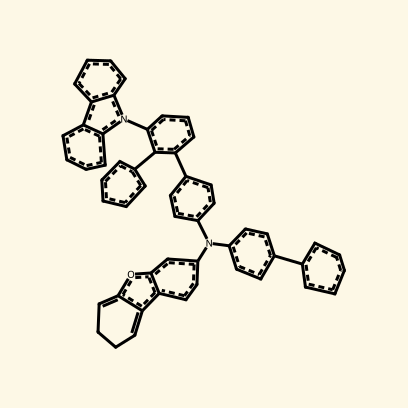 C1=c2oc3cc(N(c4ccc(-c5ccccc5)cc4)c4ccc(-c5cccc(-n6c7ccccc7c7ccccc76)c5-c5ccccc5)cc4)ccc3c2=CCC1